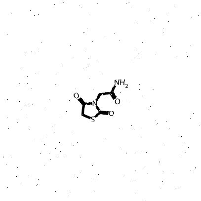 NC(=O)CN1C(=O)CSC1=O